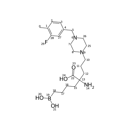 Cc1ccc(CN2CCN(CCCC(N)(CCCCB(O)O)C(=O)O)CC2)cc1F